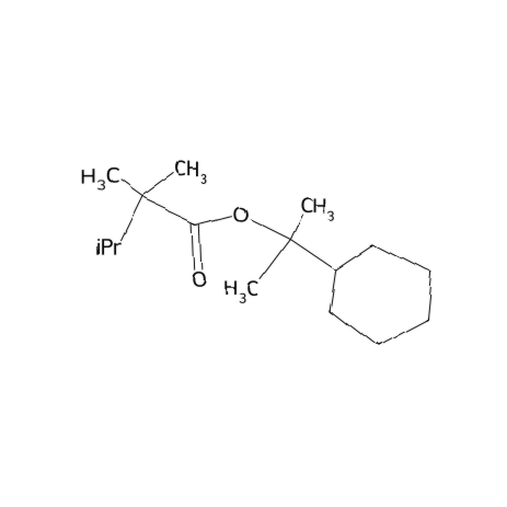 CC(C)C(C)(C)C(=O)OC(C)(C)C1CCCCC1